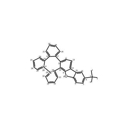 CC(C)(C)c1ccc2oc3c4c(ccc3c2c1)-c1ccccc1-c1cccc[n+]1-[n+]1ccccc1-4